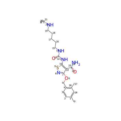 Cc1ccc(COc2nsc(NC(=O)NCCCCCNC(C)C)c2C(N)=O)c(C)c1